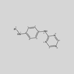 CC(C)Nc1ccc(Nc2ncncn2)cc1